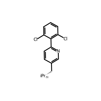 [CH2][C@@H](C)Cc1ccc(-c2c(Cl)cccc2Cl)nc1